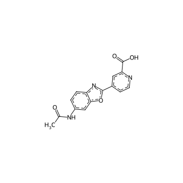 CC(=O)Nc1ccc2nc(-c3ccnc(C(=O)O)c3)oc2c1